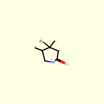 CC(C)C1(C)CC(=O)NCC1C